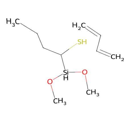 C=CC=C.CCCC(S)[SiH](OC)OC